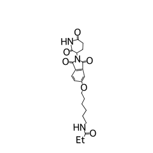 CCC(=O)NCCCCCCOc1ccc2c(c1)C(=O)N(C1CCC(=O)NC1=O)C2=O